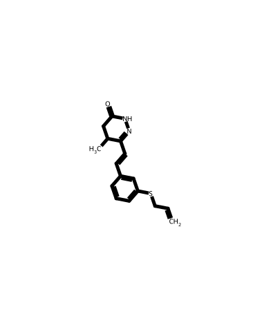 C=CCSc1cccc(C=CC2=NNC(=O)CC2C)c1